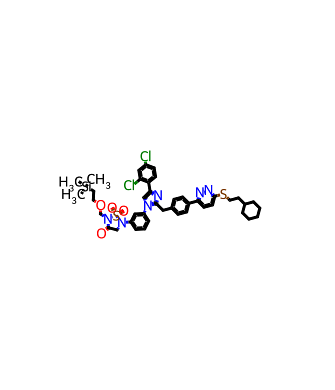 C[Si](C)(C)CCOCN1C(=O)CN(c2cccc(-n3cc(-c4ccc(Cl)cc4Cl)nc3Cc3ccc(-c4ccc(SCCC5CCCCC5)nn4)cc3)c2)S1(=O)=O